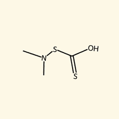 CN(C)SC(O)=S